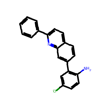 Nc1ccc(Cl)cc1-c1ccc2ccc(-c3ccccc3)nc2c1